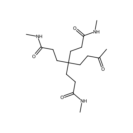 CNC(=O)CCC(CCC(C)=O)(CCC(=O)NC)CCC(=O)NC